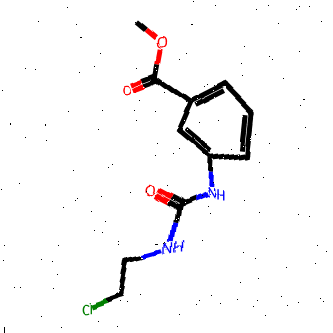 COC(=O)c1cccc(NC(=O)NCCCl)c1